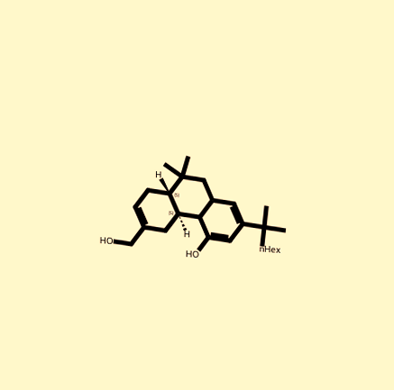 CCCCCCC(C)(C)C1=CC2CC(C)(C)[C@H]3CC=C(CO)C[C@@H]3C2C(O)=C1